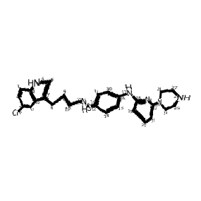 Clc1ccc2[nH]cc(CCCNSc3ccc(Nc4cccc(N5CCNCC5)n4)cc3)c2c1